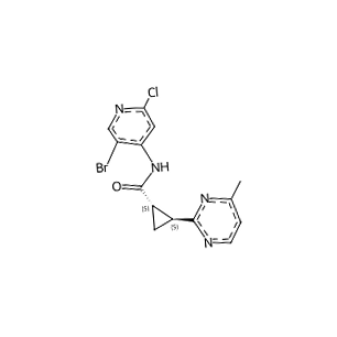 Cc1ccnc([C@H]2C[C@@H]2C(=O)Nc2cc(Cl)ncc2Br)n1